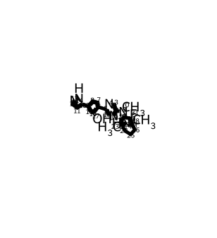 CN(c1cnc(-c2ccc(-c3ccn[nH]3)cc2O)cn1)[C@H]1C[C@]2(C)CCC[C@@](C)(N2)[C@H]1F